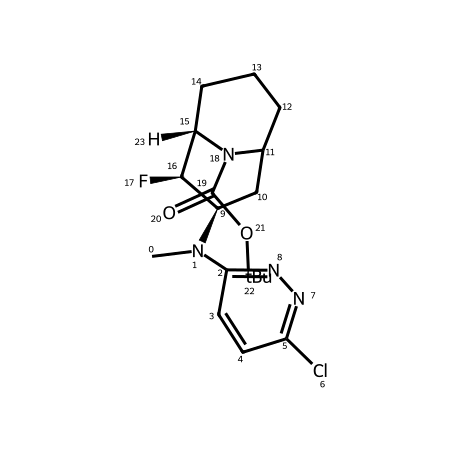 CN(c1ccc(Cl)nn1)[C@@H]1CC2CCC[C@@H]([C@@H]1F)N2C(=O)OC(C)(C)C